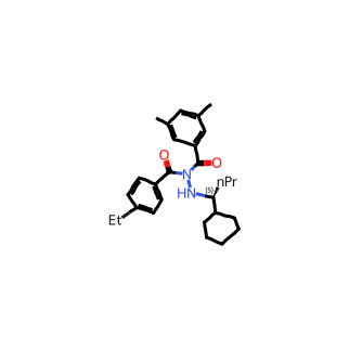 CCC[C@H](NN(C(=O)c1ccc(CC)cc1)C(=O)c1cc(C)cc(C)c1)C1CCCCC1